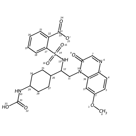 COc1ccc2ncc(=O)n(CC(NS(=O)(=O)c3ccccc3[N+](=O)[O-])C3CCC(NC(=O)O)CC3)c2c1